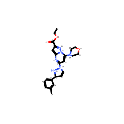 CCOC(=O)c1cc2nc(N3C=CC(c4cccc(C)c4)N3)cc(N3CCOCC3)n2n1